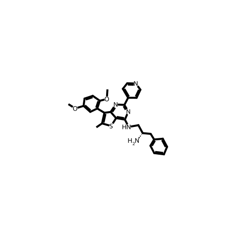 COc1ccc(OC)c(-c2c(C)sc3c(NC[C@@H](N)Cc4ccccc4)nc(-c4ccncc4)nc23)c1